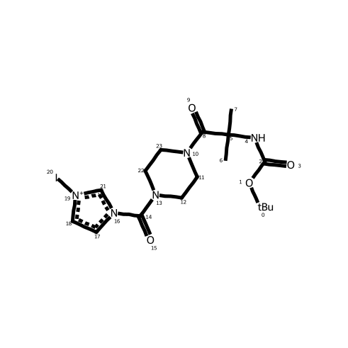 CC(C)(C)OC(=O)NC(C)(C)C(=O)N1CCN(C(=O)n2cc[n+](I)c2)CC1